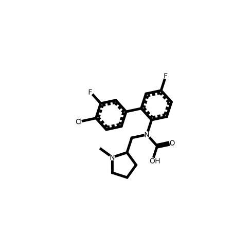 CN1CCCC1CN(C(=O)O)c1ccc(F)cc1-c1ccc(Cl)c(F)c1